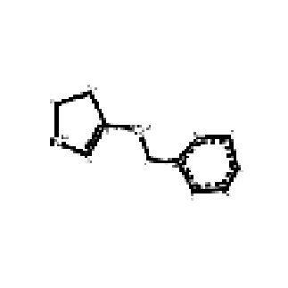 C1=C(OCc2ccccc2)CCN1